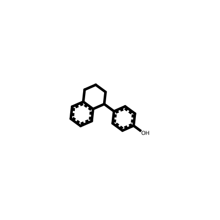 Oc1ccc(C2CCCc3ccccc32)cc1